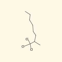 CCCCCCC(C)C(Cl)(Cl)Cl